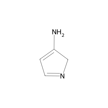 NC1=CC=NC1